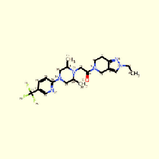 CCn1cc2c(n1)CCN(C(=O)CN1C(C)CN(c3ccc(C(F)(F)F)cn3)CC1C)C2